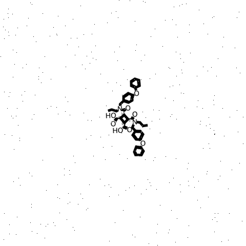 CCCN(Cc1ccc(Oc2ccccc2)cc1)C(=O)[C@H]1[C@H](C(=O)O)[C@H](C(=O)O)[C@@H]1C(=O)N(CCC)Cc1ccc(Oc2ccccc2)cc1